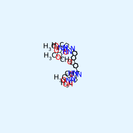 COC(=O)N[C@H](C(=O)N1[C@@H](C)CC[C@H]1c1nc2ccc3cc4c(cc3c2[nH]1)OCc1cc(-c2cnc([C@@H]3CC[C@H](C)N3C(=O)[C@@H](NC(=O)O)C(C)C)[nH]2)ccc1-4)C1C[C@@H](C)O[C@H](C)C1